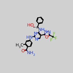 Cc1cc(Nc2ncc(-c3nnc(C(F)(F)F)o3)c(N[C@H](CO)c3ccccc3)n2)ccc1C(N)=O